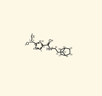 CC[S+]([O-])c1ncc(C(=O)NCCC2C3CCC2CC3)s1